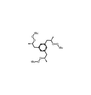 C[C@H](Cc1cc(C[C@@H](C)OOC(C)(C)C)cc(C[C@@H](C)OOC(C)(C)C)c1)OOC(C)(C)C